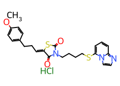 COc1ccc(CCC=C2SC(=O)N(CCCCSc3cccc4nccn34)C2=O)cc1.Cl